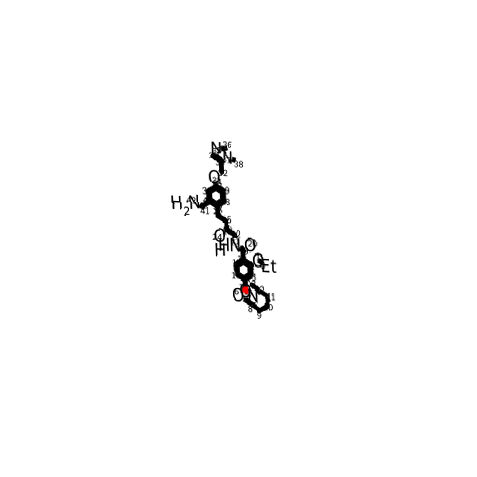 CCOc1cc(C(=O)N2C3CCCC2COC3)ccc1C(=O)NC[C@@H](O)CCc1ccc(OCc2cncn2C)cc1CN